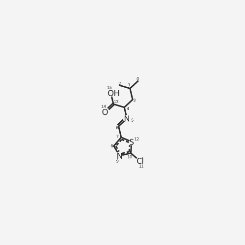 CC(C)CC(N=Cc1cnc(Cl)s1)C(=O)O